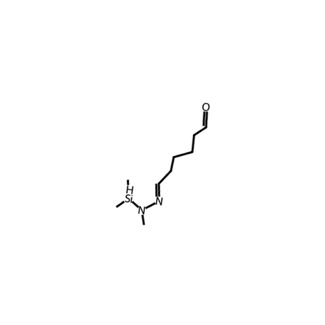 CN(N=CCCCCC=O)[SiH](C)C